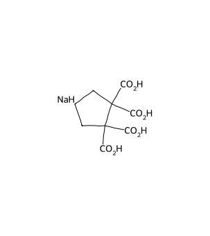 O=C(O)C1(C(=O)O)CCCC1(C(=O)O)C(=O)O.[NaH]